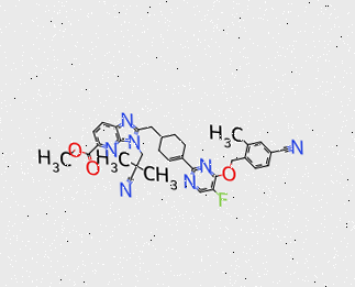 COC(=O)c1ccc2nc(CC3CC=C(c4ncc(F)c(OCc5ccc(C#N)cc5C)n4)CC3)n(CC(C)(C)C#N)c2n1